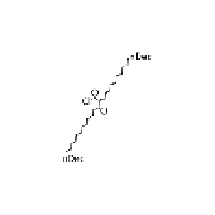 CCCCCCCCCCCCCC=CC=CC=CC=CC(=O)C(=CC=CC=CC=CCCCCCCCCCCCCC)C(=O)Cl